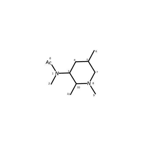 CC(=O)N(C)C1CC(C)CN(C)C1C